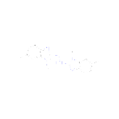 Cc1ccc2nc(NNc3nc4ccc(C)cc4n3C)n(C)c2c1